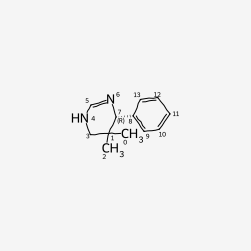 CC1(C)CNC=N[C@@H]1c1ccccc1